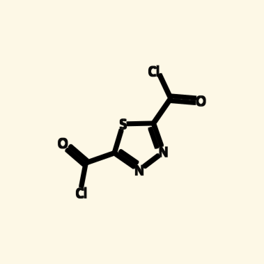 O=C(Cl)c1nnc(C(=O)Cl)s1